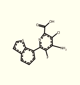 Nc1c(F)c(-c2cccc3ccsc23)nc(C(=O)O)c1Cl